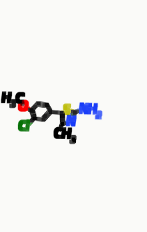 COc1ccc(-c2sc(N)nc2C)cc1Cl